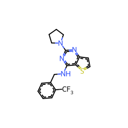 FC(F)(F)c1ccccc1CNc1nc(N2CCCC2)nc2ccsc12